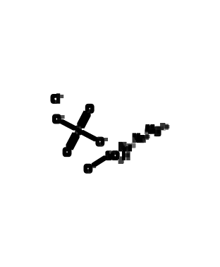 O=S(=O)([O-])O.O=S(=O)([O-])[O-].[Cl-].[Mg+2].[Na+].[Na+]